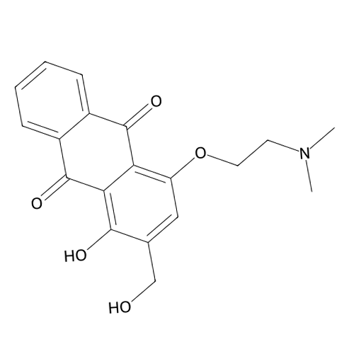 CN(C)CCOc1cc(CO)c(O)c2c1C(=O)c1ccccc1C2=O